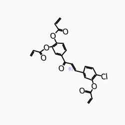 C=CC(=O)Oc1cc(/C=C/C(=O)c2ccc(OC(=O)C=C)c(OC(=O)C=C)c2)ccc1Cl